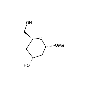 CO[C@@H]1C[C@H](O)C[C@@H](CO)O1